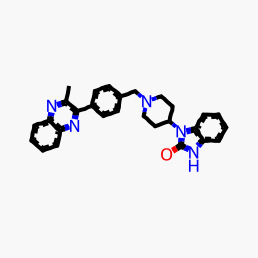 Cc1nc2ccccc2nc1-c1ccc(CN2CCC(n3c(=O)[nH]c4ccccc43)CC2)cc1